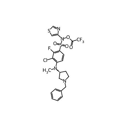 CN(c1ccc(S(=O)(=O)N(OC(=O)C(F)(F)F)c2cscn2)c(F)c1Cl)[C@H]1CCN(Cc2ccccc2)C1